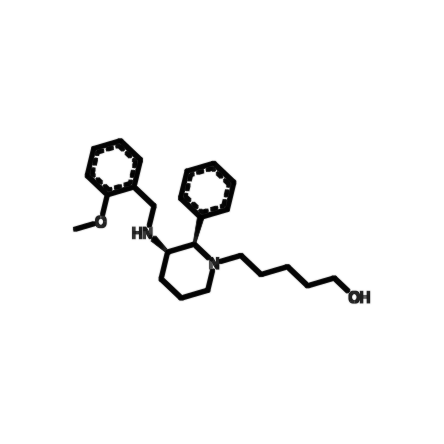 COc1ccccc1CN[C@@H]1CCCN(CCCCCO)[C@@H]1c1ccccc1